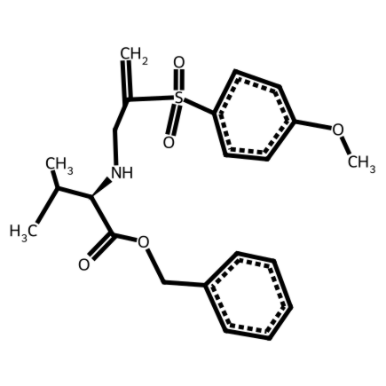 C=C(CN[C@@H](C(=O)OCc1ccccc1)C(C)C)S(=O)(=O)c1ccc(OC)cc1